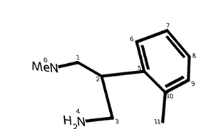 CNCC(CN)c1ccccc1C